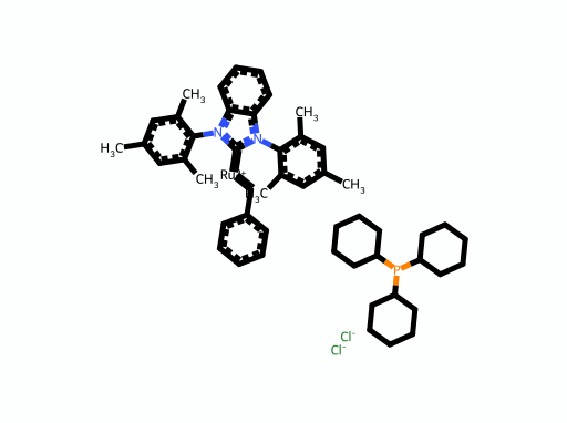 C1CCC(P(C2CCCCC2)C2CCCCC2)CC1.Cc1cc(C)c(-n2[c](=[Ru+2]=[CH]c3ccccc3)n(-c3c(C)cc(C)cc3C)c3ccccc32)c(C)c1.[Cl-].[Cl-]